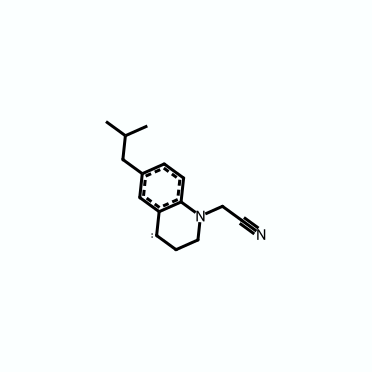 CC(C)Cc1ccc2c(c1)[C]CCN2CC#N